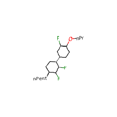 CCCCCC1CCC(C2CCC(OCCC)C(F)C2)C(F)C1F